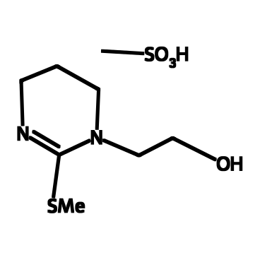 CS(=O)(=O)O.CSC1=NCCCN1CCO